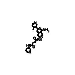 Cc1ccncc1-c1cc2cc(NC(=O)/C=C/C(=O)Nc3cccnc3)ncc2c(N)n1